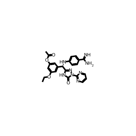 CCOc1cc(OC(C)=O)cc([C@H](Nc2ccc(C(=N)N)cc2)c2nn(-c3ncccn3)c(=O)[nH]2)c1